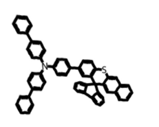 c1ccc(-c2ccc(N(c3ccc(-c4ccccc4)cc3)c3ccc(-c4ccc5c(c4)C4(c6cc7ccccc7cc6S5)c5ccccc5-c5ccccc54)cc3)cc2)cc1